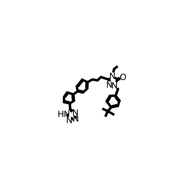 CCn1c(CCCc2ccc(-c3cccc(-c4nnn[nH]4)c3)cc2)nn(Cc2ccc(C(C)(C)C)cc2)c1=O